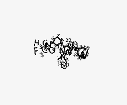 CN(C(=O)C(F)(F)F)c1cccc(-c2nc(N3CCOCC3)nc3c2CCN3c2ccncc2)c1